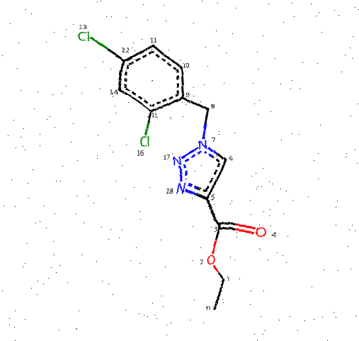 CCOC(=O)c1cn(Cc2ccc(Cl)cc2Cl)nn1